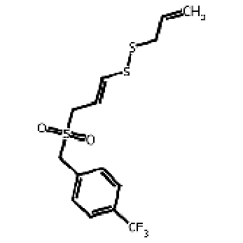 C=CCSSC=CCS(=O)(=O)Cc1ccc(C(F)(F)F)cc1